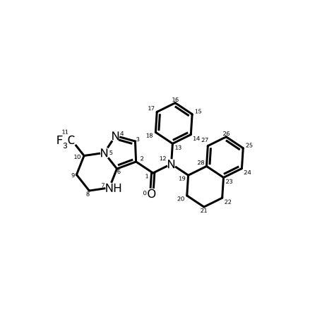 O=C(c1cnn2c1NCCC2C(F)(F)F)N(c1ccccc1)C1CCCc2ccccc21